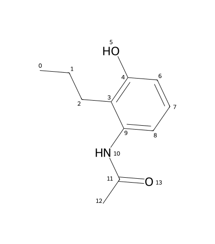 CCCc1c(O)cccc1NC(C)=O